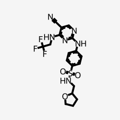 N#Cc1cnc(Nc2ccc(S(=O)(=O)NCC3CCCO3)cc2)nc1NCC(F)(F)F